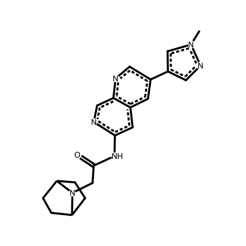 Cn1cc(-c2cnc3cnc(NC(=O)CN4C5CCC4CC5)cc3c2)cn1